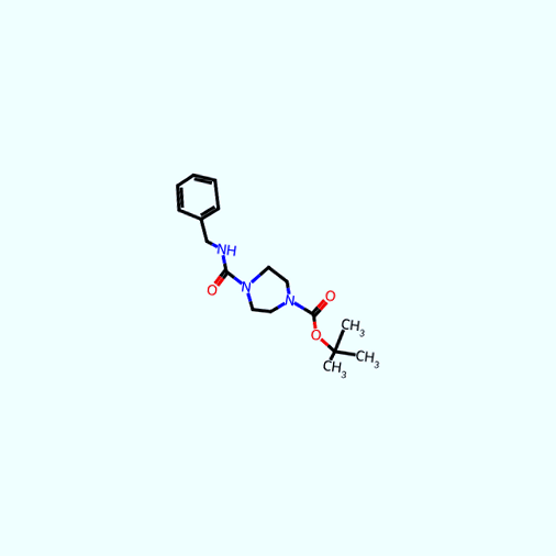 CC(C)(C)OC(=O)N1CCN(C(=O)NCc2ccccc2)CC1